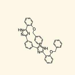 c1ccc(COc2ccccc2-c2nc(-c3cccc(-c4n[nH]c(-c5ccccc5OCc5ccccc5)n4)c3)n[nH]2)cc1